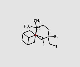 CCC1(CI)CC2CC(C1)C2C1CC(CC)(CI)CCC1(C)C